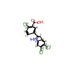 O=C(O)c1cc(-c2cc3cc(Cl)c(Cl)cc3[nH]2)ccc1Cl